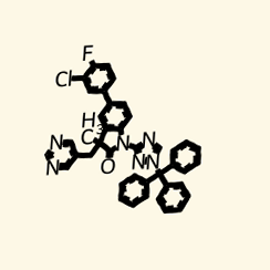 CC1(Cc2cncnc2)C(=O)N(c2ncn(C(c3ccccc3)(c3ccccc3)c3ccccc3)n2)c2ccc(-c3ccc(F)c(Cl)c3)cc21